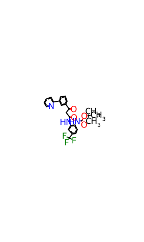 CC(C)(C)OC(=O)Nc1ccc(C(F)(F)F)cc1NC(=O)CC(=O)c1cccc(-c2ccccn2)c1